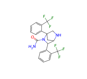 NC(=O)N1C(c2ccccc2C(F)(F)F)C2CC1(c1ccccc1C(F)(F)F)CN2